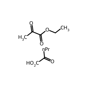 CCCC(=O)C(=O)O.CCOC(=O)C(C)=O